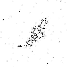 COc1ccc(S(=O)(=O)N2CCSc3c(-c4cccs4)cncc32)cc1